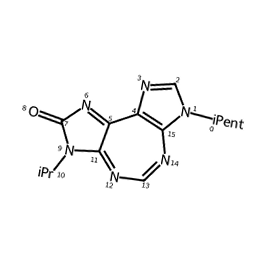 CCCC(C)n1cnc2c3nc(=O)n(C(C)C)c-3ncnc21